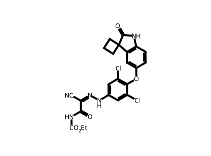 CCOC(=O)NC(=O)C(C#N)=NNc1cc(Cl)c(Oc2ccc3c(c2)C2(CCC2)C(=O)N3)c(Cl)c1